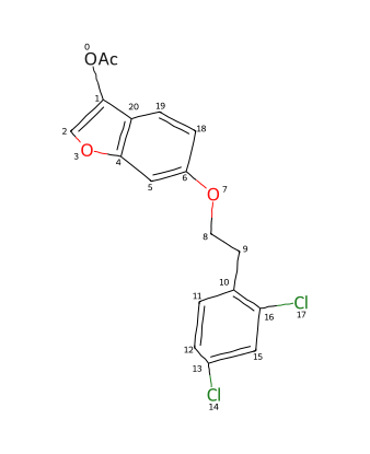 CC(=O)Oc1coc2cc(OCCc3ccc(Cl)cc3Cl)ccc12